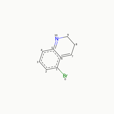 Brc1cccc2c1=CCCN=2